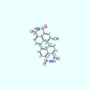 N#Cc1cc2c3c(ccc4c5ccc6c7c(ccc(c1c34)c75)C(=O)NC6=O)C(=O)NC2=O